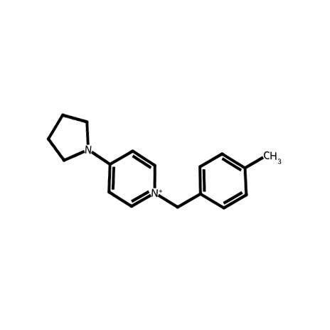 Cc1ccc(C[n+]2ccc(N3CCCC3)cc2)cc1